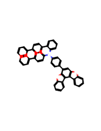 c1ccc(-c2ccc(-c3ccccc3N(c3ccc(-c4ccccc4)cc3)c3ccc(-c4cc5oc6ccccc6c5c5c4oc4ccccc45)cc3)cc2)cc1